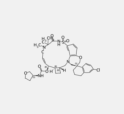 CN1CC=C[C@H](OC(=O)N[C@H]2CCOC2)[C@@H]2CC[C@H]2CN2C[C@@]3(CCCc4cc(Cl)ccc43)COc3ccc(cc32)S(=O)(=O)NC(=O)C1(C)C